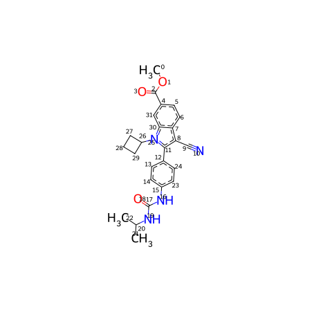 COC(=O)c1ccc2c(C#N)c(-c3ccc(NC(=O)NC(C)C)cc3)n(C3CCC3)c2c1